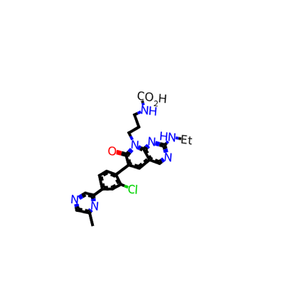 CCNc1ncc2cc(-c3ccc(-c4cncc(C)n4)cc3Cl)c(=O)n(CCCNC(=O)O)c2n1